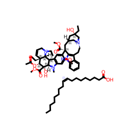 CCCCCCCC/C=C\CCCCCCCC(=O)O.CC[C@]1(O)C[C@@H]2C[N@@](CCc3c([nH]c4ccccc34)[C@@](C(=O)OC)(c3cc4c(cc3OC)N(C)[C@H]3[C@@](O)(C(=O)OC)[C@H](OC(C)=O)[C@]5(CC)C=CCN6CC[C@]43[C@@H]65)C2)C1